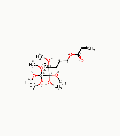 C=CC(=O)OCCCC(C)(OC)C(OC)(OC)[Si](OC)(OC)OC